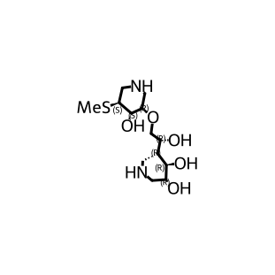 CS[C@H]1CNC[C@@H](OC[C@H](O)[C@H]2CNC[C@@H](O)[C@@H]2O)[C@@H]1O